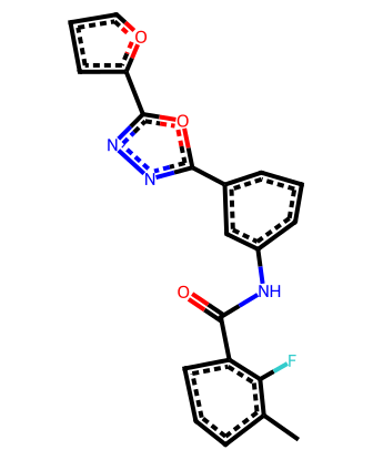 Cc1cccc(C(=O)Nc2cccc(-c3nnc(-c4ccco4)o3)c2)c1F